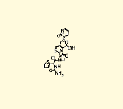 NC(=O)NC(C(=O)N[C@H]1C(=O)N2C(C(=O)O)=C(CSc3cccn[n+]3[O-])CSC12)c1cccs1